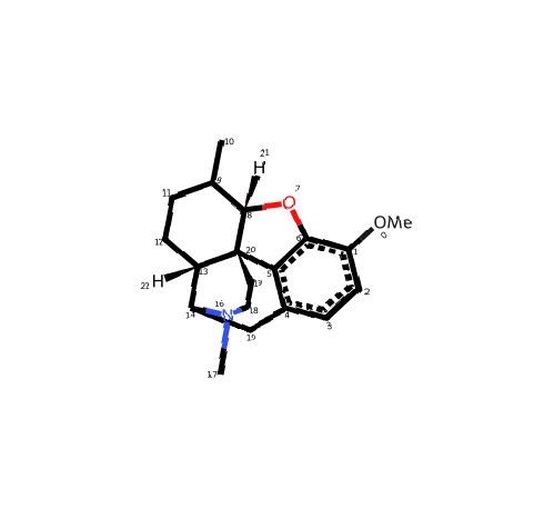 COc1ccc2c3c1O[C@H]1C(C)CC[C@H]4C(C2)N(C)CC[C@@]341